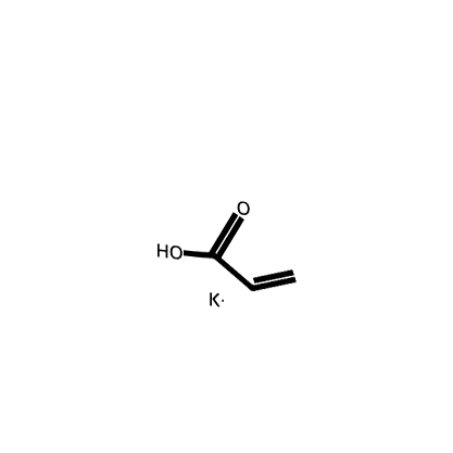 C=CC(=O)O.[K]